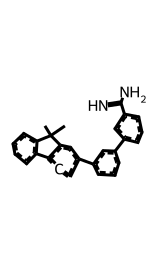 CC1(C)c2ccccc2-c2ccc(-c3cccc(-c4cccc(C(=N)N)c4)c3)cc21